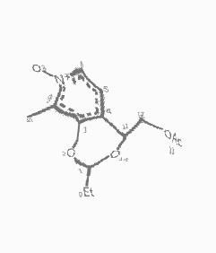 CCC1Oc2c(cc[n+]([O-])c2C)C(COC(C)=O)O1